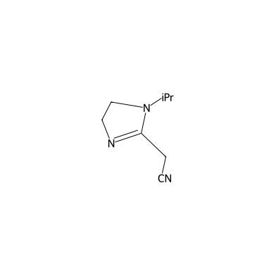 CC(C)N1CCN=C1CC#N